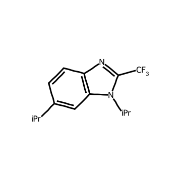 CC(C)c1ccc2nc(C(F)(F)F)n(C(C)C)c2c1